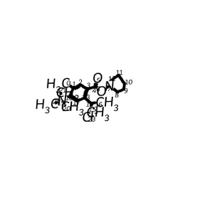 Cc1cc(C(=O)ON2CCCCC2)c(C(C)C)cc1[N+](C)(C)C.[Cl-]